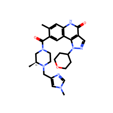 Cc1cc2[nH]c(=O)c3cnn(C4CCOCC4)c3c2cc1C(=O)N1CCN(Cc2cn(C)cn2)[C@@H](C)C1